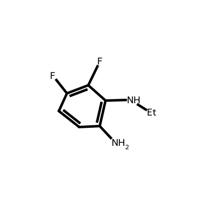 CCNc1c(N)ccc(F)c1F